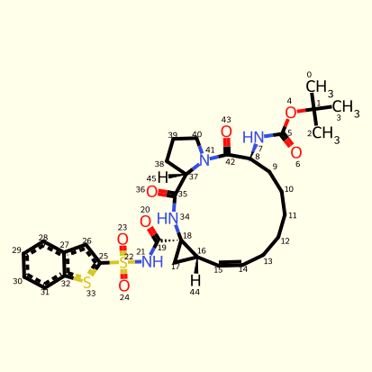 CC(C)(C)OC(=O)N[C@H]1CCCCC/C=C\[C@@H]2C[C@@]2(C(=O)NS(=O)(=O)c2cc3ccccc3s2)NC(=O)[C@@H]2CCCN2C1=O